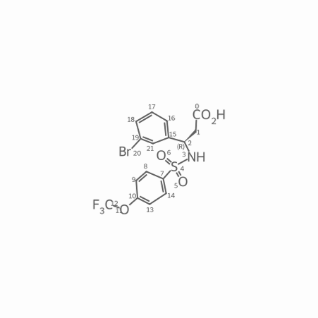 O=C(O)C[C@@H](NS(=O)(=O)c1ccc(OC(F)(F)F)cc1)c1cccc(Br)c1